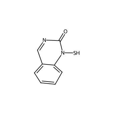 O=c1ncc2ccccc2n1S